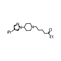 CCC(=O)CCCCN1CCC(n2cc(C(C)C)cn2)CC1